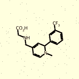 CN1C=CC(CNCC(=O)O)=CC1c1cccc(C(F)(F)F)c1